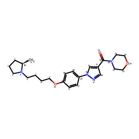 C[C@@H]1CCCN1CCCCOc1ccc(-n2cc(C(=O)N3CCOCC3)cn2)cc1